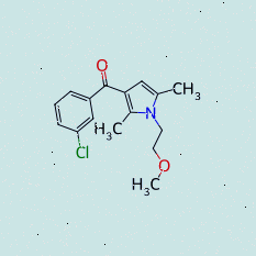 COCCn1c(C)cc(C(=O)c2cccc(Cl)c2)c1C